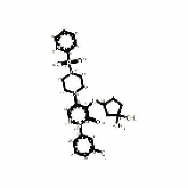 CC1(C)CCC(Oc2c(N3CCN(S(=O)(=O)c4ccccn4)CC3)cnn(-c3cccc(Cl)c3)c2=O)C1